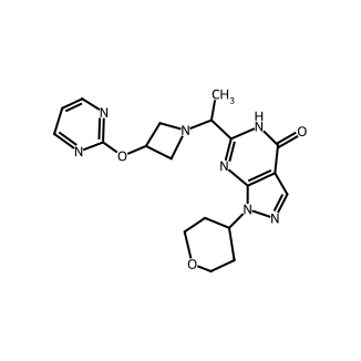 CC(c1nc2c(cnn2C2CCOCC2)c(=O)[nH]1)N1CC(Oc2ncccn2)C1